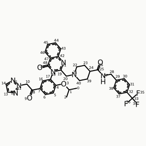 CC(C)Oc1ccc(C(=O)Cn2nccn2)cc1-n1c(CN2CCC(C(=O)NCc3ccc(C(F)(F)F)cc3)CC2)nc2ccccc2c1=O